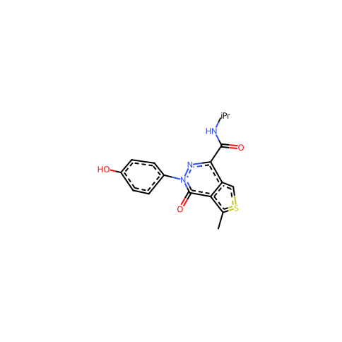 Cc1scc2c(C(=O)NC(C)C)nn(-c3ccc(O)cc3)c(=O)c12